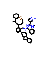 C=N/C(=N\C(=N/Cc1c(C2=C/C(=C)C3=C(CCCC3)SC/C=C\2)cccc1-c1ccc2c(c1)Cc1ccccc1-2)c1ccccc1)c1cc[nH]c1